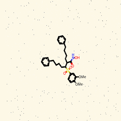 COc1ccc(S(=O)(=O)C(CCCCc2ccccc2)C(CCCCc2ccccc2)C(=O)NO)cc1OC